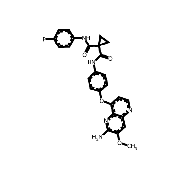 COc1cc2nccc(Oc3ccc(NC(=O)C4(C(=O)Nc5ccc(F)cc5)CC4)cc3)c2nc1N